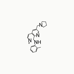 C=N/C=C\c1cc(CN2CCCC2)cnc1CNc1ccccc1C